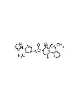 CN(C)c1ccccc1-c1cc(Cl)c(C(=O)Nc2cnc(-n3nccn3)c(C(F)(F)F)c2)cc1F